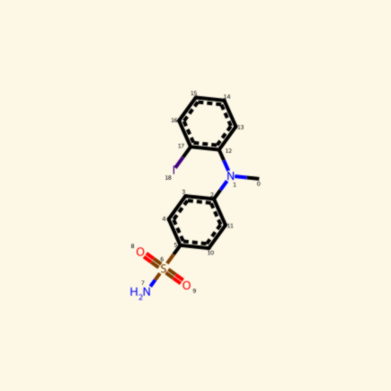 CN(c1ccc(S(N)(=O)=O)cc1)c1ccccc1I